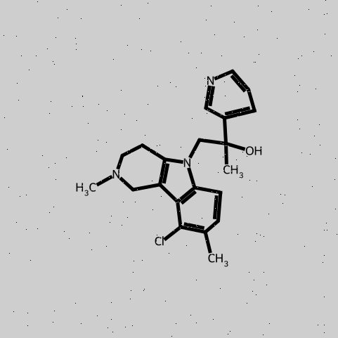 Cc1ccc2c(c1Cl)c1c(n2CC(C)(O)c2cccnc2)CCN(C)C1